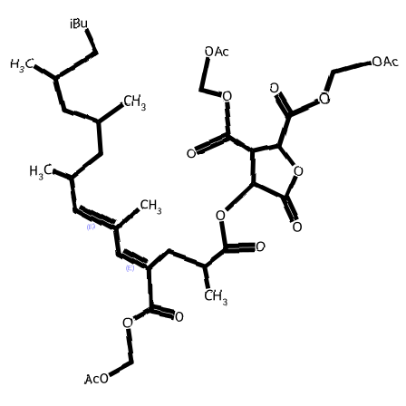 CCC(C)CC(C)CC(C)CC(C)/C=C(C)/C=C(\CC(C)C(=O)OC1C(=O)OC(C(=O)OCOC(C)=O)C1C(=O)OCOC(C)=O)C(=O)OCOC(C)=O